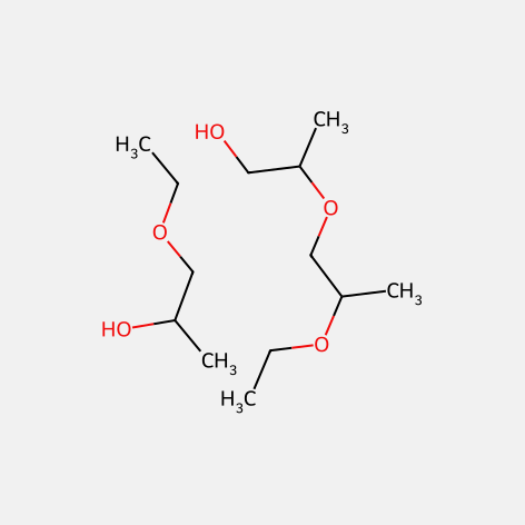 CCOC(C)COC(C)CO.CCOCC(C)O